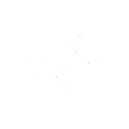 CCOC(=O)c1nc(C(C)C(c2cn(C)cn2)c2ccccc2C#N)n(C)c(=O)c1OC